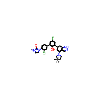 CC[C@]1(C)CCN(c2cc(-c3cc(F)cc(-c4ccc(-n5ccn(C)c5=O)c(Cl)c4)c3O)cc3[nH]ncc23)C1